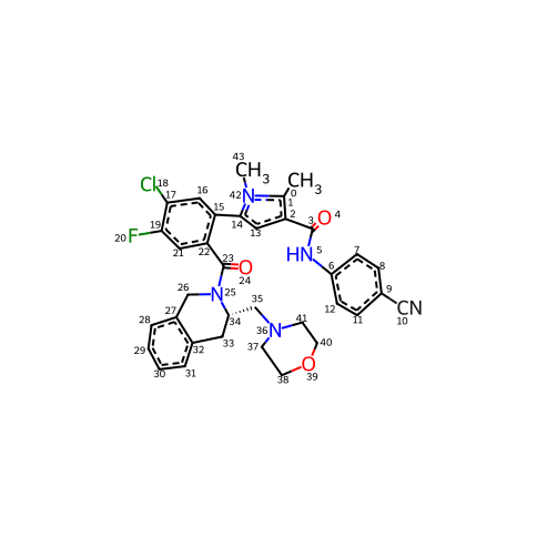 Cc1c(C(=O)Nc2ccc(C#N)cc2)cc(-c2cc(Cl)c(F)cc2C(=O)N2Cc3ccccc3C[C@H]2CN2CCOCC2)n1C